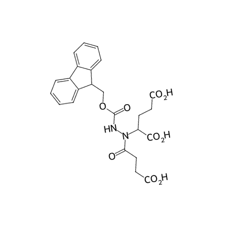 O=C(O)CCC(=O)N(NC(=O)OCC1c2ccccc2-c2ccccc21)C(CCC(=O)O)C(=O)O